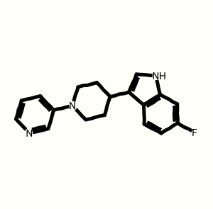 Fc1ccc2c(C3CCN(c4cccnc4)CC3)c[nH]c2c1